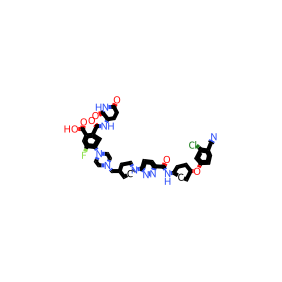 N#Cc1ccc(OC2CCC(NC(=O)c3ccc(N4CCC(CN5CCN(c6cc(C(=O)NC7CCC(=O)NC7=O)c(C(=O)O)cc6F)CC5)CC4)nn3)CC2)cc1Cl